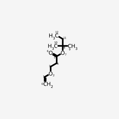 C=COCCC(=O)OC(C)(C)CC